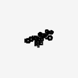 Cl.NC(NC(=O)[C@@H]1CCCN1C(=O)[C@@H](CC1CCCCC1)NCC(=O)N1CCC1)c1ccc2cnccc2c1